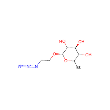 CCC1O[C@@H](OCCN=[N+]=[N-])C(O)[C@@H](O)[C@@H]1O